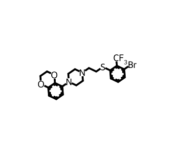 FC(F)(F)c1c(Br)cccc1SCCN1CCN(c2cccc3c2OCCO3)CC1